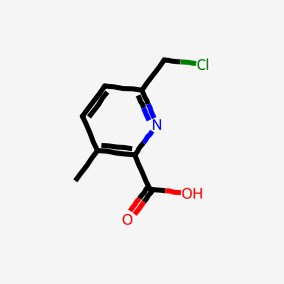 Cc1ccc(CCl)nc1C(=O)O